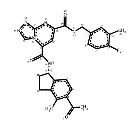 CC(=O)c1ccc2c(c1C)CC[C@@H]2NC(=O)c1cc(C(=O)NCc2ccc(F)c(C)c2)nc2nncn12